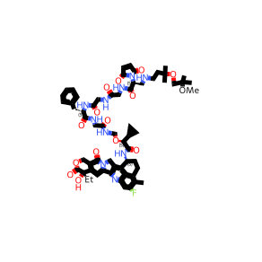 CC[C@@]1(O)C(=O)OCc2c1cc1n(c2=O)Cc2c-1nc1cc(F)c(C)c3c1c2[C@@H](NC(=O)[C@@H](OCNC(=O)CNC(=O)[C@H](Cc1ccccc1)NC(=O)CNC(=O)CNC(=O)[C@H](CNCCC(C)(C)OCC(C)(C)OC)N1C(=O)C=CC1=O)C1CC1)CC3